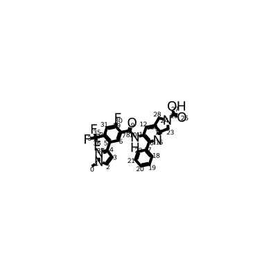 Cn1ccc(-c2cc(C(=O)Nc3cc4c(nc3-c3ccccc3)CN(C(=O)O)C4)c(F)cc2C(F)(F)F)n1